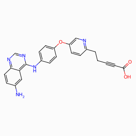 Nc1ccc2ncnc(Nc3ccc(Oc4ccc(CCC#CC(=O)O)nc4)cc3)c2c1